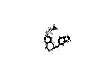 C[C@@H](c1ccc2scnc2c1)N1CCCc2ncc(NS(=O)(=O)C3CC3)cc2C1